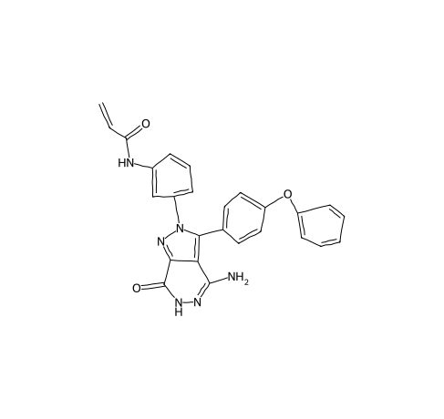 C=CC(=O)Nc1cccc(-n2nc3c(=O)[nH]nc(N)c3c2-c2ccc(Oc3ccccc3)cc2)c1